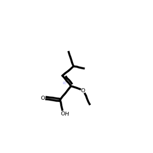 CO/C(=C\C(C)C)C(=O)O